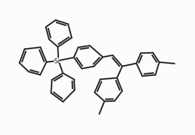 Cc1ccc(C(=Cc2ccc([Si](c3ccccc3)(c3ccccc3)c3ccccc3)cc2)c2ccc(C)cc2)cc1